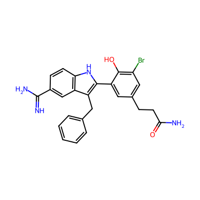 N=C(N)c1ccc2[nH]c(-c3cc(CCC(N)=O)cc(Br)c3O)c(Cc3ccccc3)c2c1